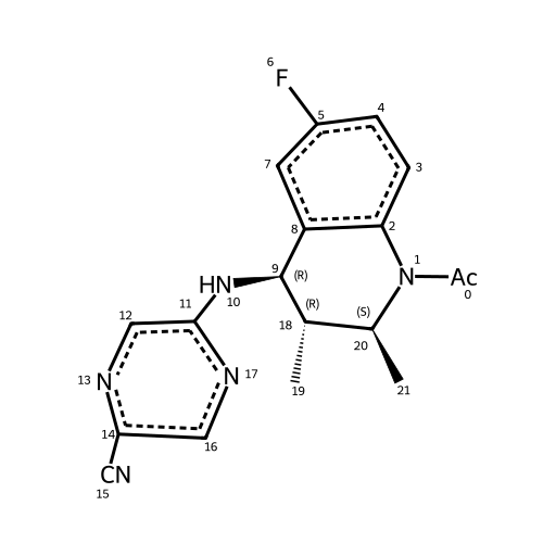 CC(=O)N1c2ccc(F)cc2[C@H](Nc2cnc(C#N)cn2)[C@@H](C)[C@@H]1C